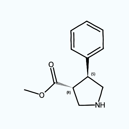 COC(=O)[C@H]1CNC[C@@H]1c1ccccc1